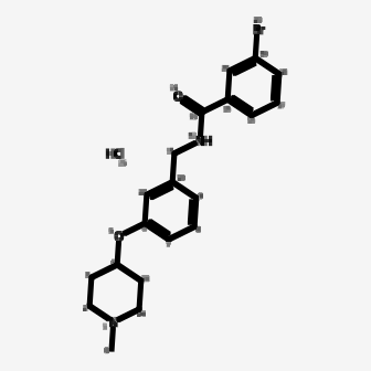 CN1CCC(Oc2cccc(CNC(=O)c3cccc(Br)c3)c2)CC1.Cl